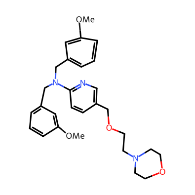 COc1cccc(CN(Cc2cccc(OC)c2)c2ccc(COCCN3CCOCC3)cn2)c1